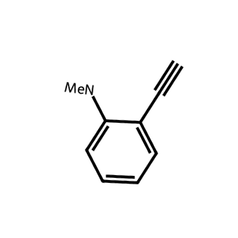 C#Cc1ccccc1NC